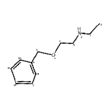 CCNCCOCc1ccccc1